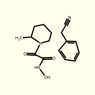 CC1CCCCN1C(=O)C(=O)NO.N#CCc1ccccc1